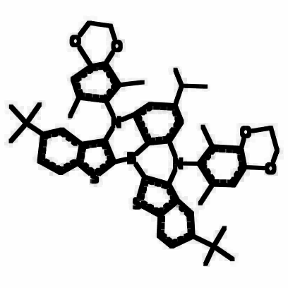 Cc1cc2c(c(C)c1N1c3cc(C(C)C)cc4c3B(c3sc5ccc(C(C)(C)C)cc5c31)c1sc3ccc(C(C)(C)C)cc3c1N4c1c(C)cc3c(c1C)OCCO3)OCCO2